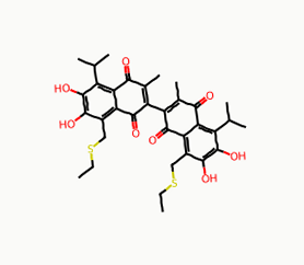 CCSCc1c(O)c(O)c(C(C)C)c2c1C(=O)C(C1=C(C)C(=O)c3c(c(CSCC)c(O)c(O)c3C(C)C)C1=O)=C(C)C2=O